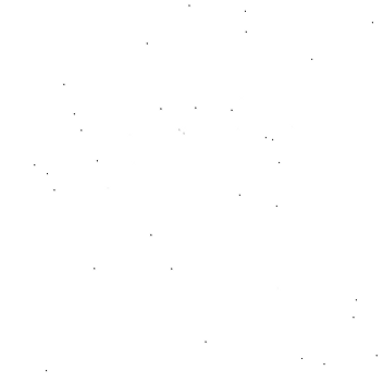 CC#CCc1csc(S(=O)(=O)CNCC(=O)OC(C)(C)C)c1